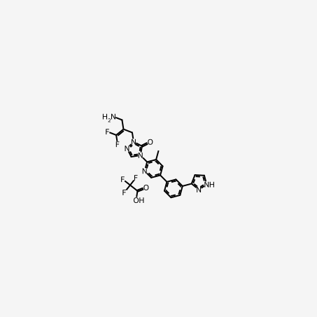 Cc1cc(-c2cccc(-c3cc[nH]n3)c2)cnc1-n1cnn(CC(CN)=C(F)F)c1=O.O=C(O)C(F)(F)F